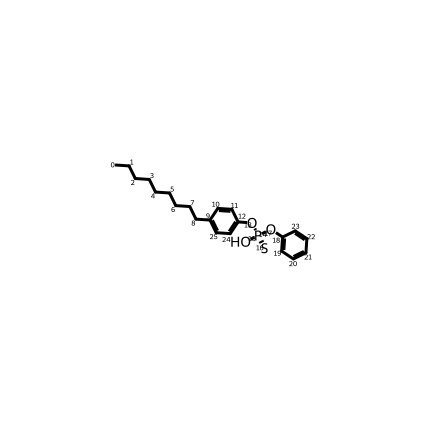 CCCCCCCCCc1ccc(OP(O)(=S)Oc2ccccc2)cc1